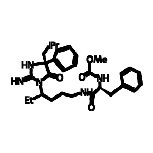 CC[C@H](CCCNC(=O)[C@H](Cc1ccccc1)NC(=O)OC)N1C(=N)N[C@](CC(C)C)(c2ccccc2)C1=O